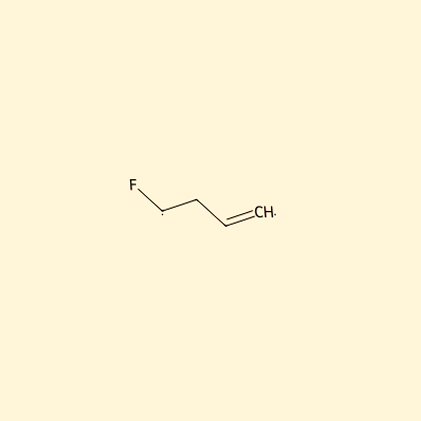 [CH]=CC[CH]F